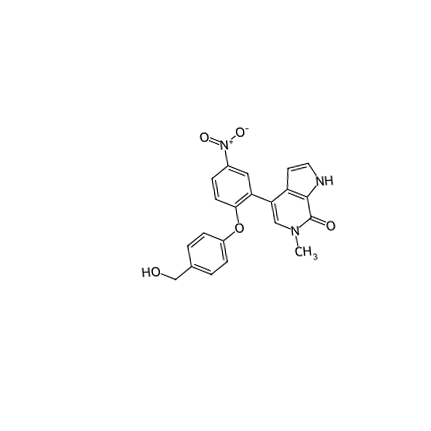 Cn1cc(-c2cc([N+](=O)[O-])ccc2Oc2ccc(CO)cc2)c2cc[nH]c2c1=O